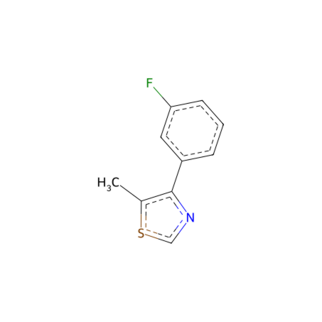 Cc1scnc1-c1cccc(F)c1